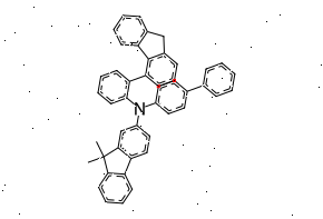 CC1(C)c2ccccc2-c2ccc(N(c3ccc(-c4ccccc4)cc3)c3ccccc3-c3cccc4c3-c3ccccc3C4)cc21